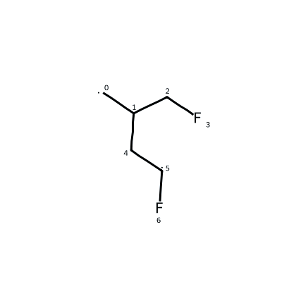 [CH2]C(CF)C[CH]F